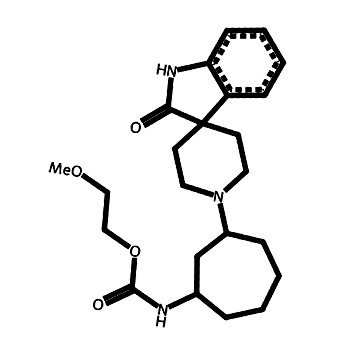 COCCOC(=O)NC1CCCCC(N2CCC3(CC2)C(=O)Nc2ccccc23)C1